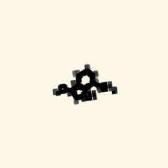 COc1c[nH]c2c(N)cccc12